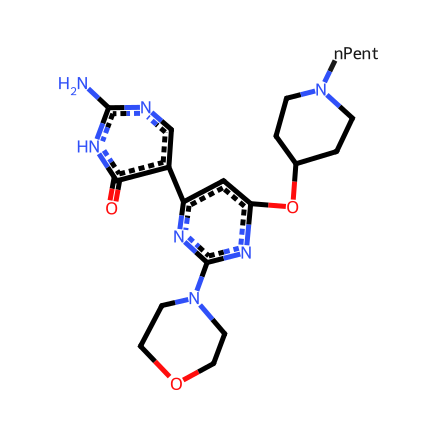 CCCCCN1CCC(Oc2cc(-c3cnc(N)[nH]c3=O)nc(N3CCOCC3)n2)CC1